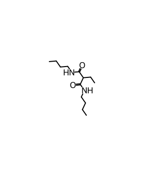 CCCCNC(=O)C(CC)C(=O)NCCCC